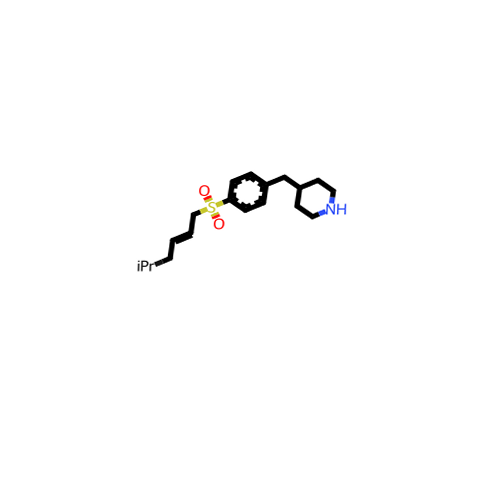 CC(C)CC=CCS(=O)(=O)c1ccc(CC2CCNCC2)cc1